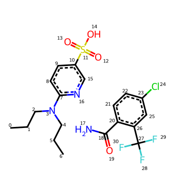 CCCN(CCC)c1ccc(S(=O)(=O)O)cn1.NC(=O)c1ccc(Cl)cc1C(F)(F)F